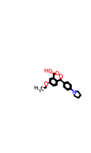 CCOc1ccc(C(=O)c2ccc(N3CCCC3)cc2)c(C(=O)O)c1